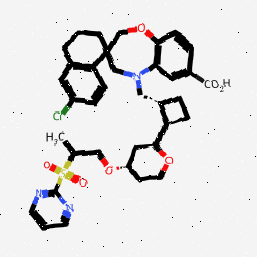 CC(CO[C@H]1CCO[C@H]([C@@H]2CC[C@H]2CN2CC3(CCCc4cc(Cl)ccc43)COc3ccc(C(=O)O)cc32)C1)S(=O)(=O)c1ncccn1